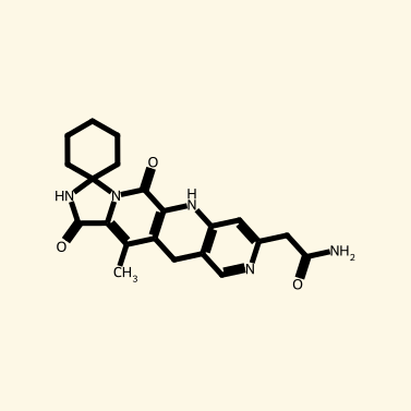 Cc1c2c(c(=O)n3c1C(=O)NC31CCCCC1)Nc1cc(CC(N)=O)ncc1C2